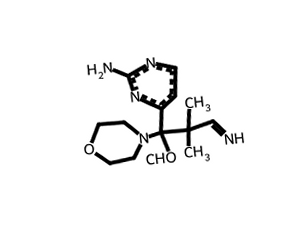 CC(C)(C=N)C(C=O)(c1ccnc(N)n1)N1CCOCC1